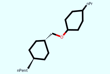 CCCCC[C@H]1CC[C@H](COC2CCC(CCC)CC2)CC1